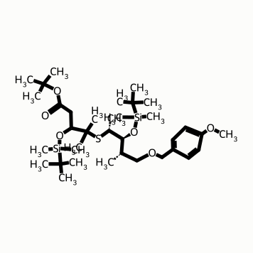 COc1ccc(COC[C@H](C)[C@H](O[Si](C)(C)C(C)(C)C)[C@@H](C)SC(C)(C)C(CC(=O)OC(C)(C)C)O[Si](C)(C)C(C)(C)C)cc1